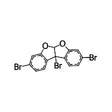 Brc1ccc2c(c1)OC1Oc3cc(Br)ccc3C21Br